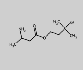 CC(N)CC(=O)OCCS(C)(C)S